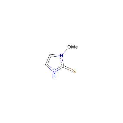 COn1cc[nH]c1=S